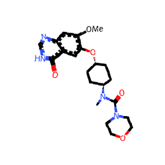 COc1cc2nc[nH]c(=O)c2cc1O[C@H]1CC[C@H](N(C)C(=O)N2CCOCC2)CC1